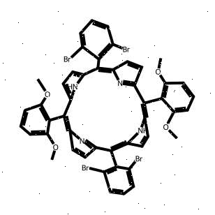 COc1cccc(OC)c1-c1c2nc(c(-c3c(Br)cccc3Br)c3ccc([nH]3)c(-c3c(OC)cccc3OC)c3nc(c(-c4c(Br)cccc4Br)c4ccc1[nH]4)C=C3)C=C2